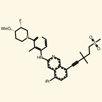 C=C(/C(C)=C(\C=C/C)Nc1cc2c(C(C)C)ccc(C#CC(C)(C)CCS(C)(=O)=O)c2cn1)N1CC[C@H](OC)[C@H](F)C1